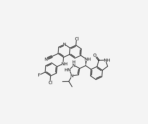 CC(C)N1C=C([C@@H](Nc2cc(Cl)c3ncc(C#N)c(Nc4ccc(F)c(Cl)c4)c3c2)c2cccc3c2C(=O)NC3)NN1